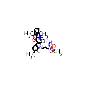 Cc1ccc2c(C(=O)NC3C4(C)CCC(C4)C3(C)C)c(C)n(CCCNS(C)(=O)=O)c2c1F